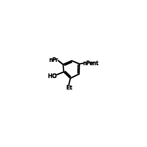 CCCCCc1cc(CC)c(O)c(CCC)c1